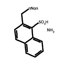 CCCCCCCCCCc1ccc2ccccc2c1S(=O)(=O)O.N